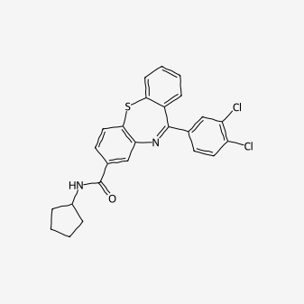 O=C(NC1CCCC1)c1ccc2c(c1)N=C(c1ccc(Cl)c(Cl)c1)c1ccccc1S2